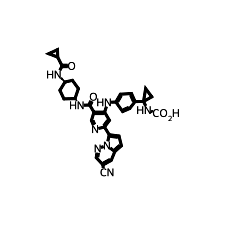 N#Cc1cnn2c(-c3cc(Nc4ccc(C5(NC(=O)O)CC5)cc4)c(C(=O)N[C@H]4CC[C@H](NC(=O)C5CC5)CC4)cn3)ccc2c1